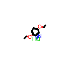 CCOc1ccc(OCC)cc1.Cl.N#N